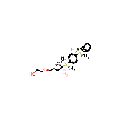 BC(C)(CCCOCCO)S(C)(C)c1ccc(S(C)(C)C2C3CCC2CC3)cc1